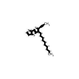 CC#Cc1sc2c(sc3ccsc32)c1CCCCCCCCCC